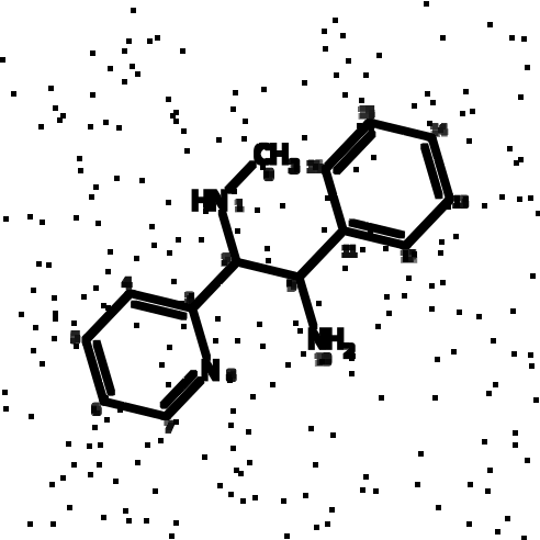 CNC(c1ccccn1)C(N)c1ccccc1